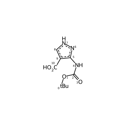 CC(C)(C)OC(=O)Nc1n[nH]cc1C(=O)O